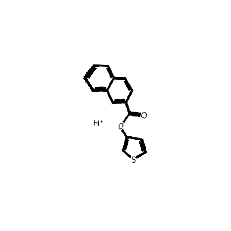 O=C(Oc1ccsc1)c1ccc2ccccc2c1.[H+]